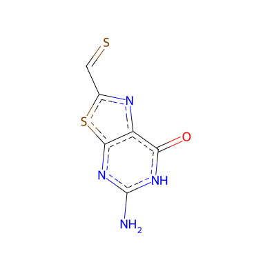 Nc1nc2sc(C=S)nc2c(=O)[nH]1